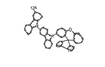 N#Cc1ccc2c(c1)c1ccccc1n2-c1ccc2c(c1)c1ccccc1n2-c1ccc2c(c1)C1(c3ccccc3O2)c2cccnc2-c2ncccc21